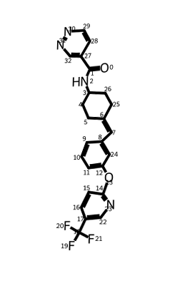 O=C(NC1CCC(=Cc2cccc(Oc3ccc(C(F)(F)F)cn3)c2)CC1)c1ccnnc1